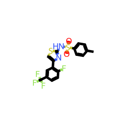 Cc1ccc(S(=O)(=O)Nc2nc(-c3cc(C(F)(F)F)ccc3F)cs2)cc1